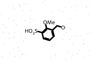 COc1c(C[O])cccc1S(=O)(=O)O